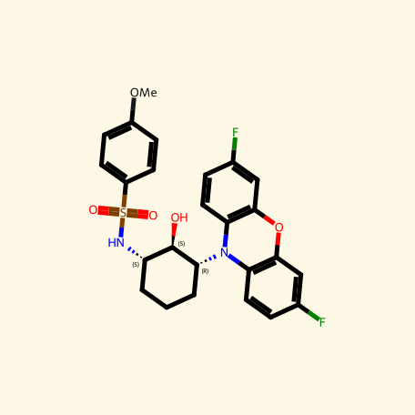 COc1ccc(S(=O)(=O)N[C@H]2CCC[C@@H](N3c4ccc(F)cc4Oc4cc(F)ccc43)[C@@H]2O)cc1